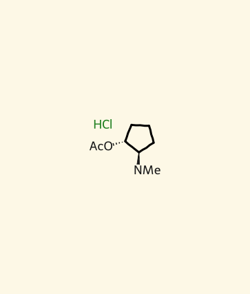 CN[C@@H]1CCC[C@H]1OC(C)=O.Cl